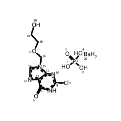 O=P(O)(O)O.O=c1[nH]c(Cl)nc2c1ncn2COCCO.[BaH2]